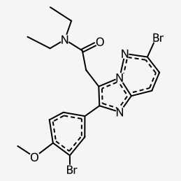 CCN(CC)C(=O)Cc1c(-c2ccc(OC)c(Br)c2)nc2ccc(Br)nn12